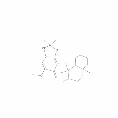 COC1=CC2NC(C)(C)OC2=C(CC2(C)C(C)CCC3(C)CCCCC32)C1=O